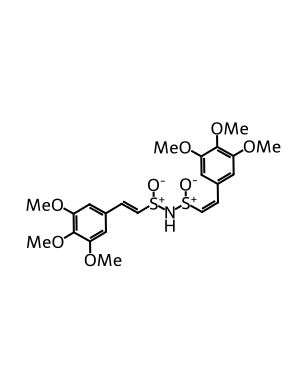 COc1cc(/C=C\[S+]([O-])N[S+]([O-])/C=C/c2cc(OC)c(OC)c(OC)c2)cc(OC)c1OC